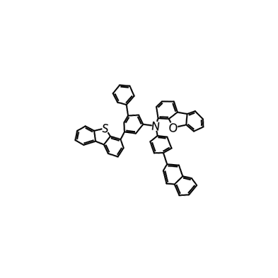 c1ccc(-c2cc(-c3cccc4c3sc3ccccc34)cc(N(c3ccc(-c4ccc5ccccc5c4)cc3)c3cccc4c3oc3ccccc34)c2)cc1